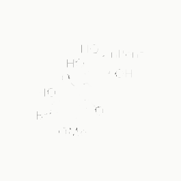 CCCCCC(O)c1c(O)cc2c(c1O)C(=O)c1c(cc(OC)c(Br)c1O)C2=O